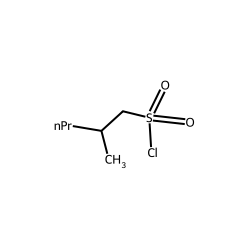 CCCC(C)CS(=O)(=O)Cl